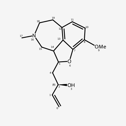 C=C[C@H](O)CC1Oc2c(OC)ccc3c2C1CN(C)CC3